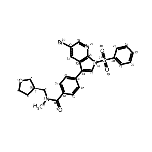 CN(C[C@H]1CCOC1)C(=O)c1ccc(-c2cn(S(=O)(=O)c3ccccc3)c3ncc(Br)cc23)cc1